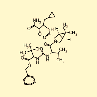 CC(C)[C@H](NC(=O)N[C@H](C(=O)OCc1ccccc1)C(C)(C)C)C(=O)N1C[C@H]2[C@@H]([C@H]1C(=O)NC(CC1CC1)C(=O)C(N)=O)C2(C)C